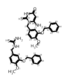 COc1ccc(CNC(N)=S)cc1OCc1ccccc1.COc1ccc(Cn2c(N)cc(=O)[nH]c2=S)cc1OCc1ccccc1